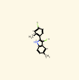 Cc1ccc2[nH]c(-c3ccc(F)cc3C)c(F)c2c1